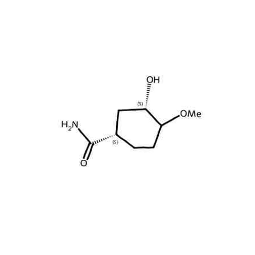 COC1CC[C@H](C(N)=O)C[C@@H]1O